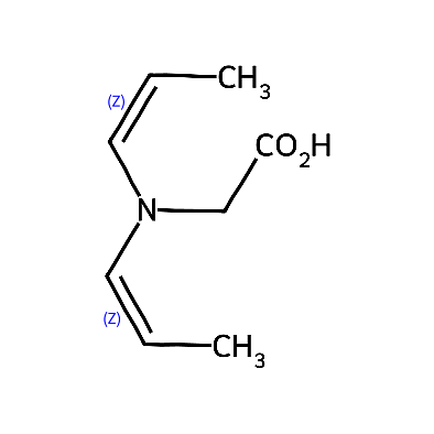 C/C=C\N(/C=C\C)CC(=O)O